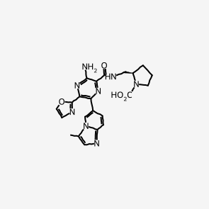 Cc1cnc2ccc(-c3nc(C(=O)NC[C@H]4CCCN4C(=O)O)c(N)nc3-c3ncco3)cn12